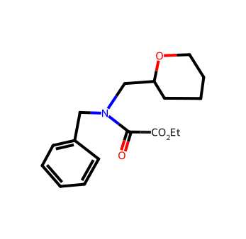 CCOC(=O)C(=O)N(Cc1ccccc1)CC1CCCCO1